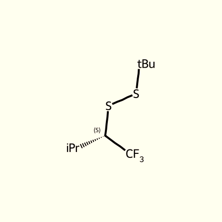 CC(C)[C@H](SSC(C)(C)C)C(F)(F)F